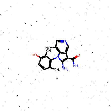 Cc1ccc(O)c(C)c1-n1c(N)c(C(N)=O)c2cncc(C#N)c21